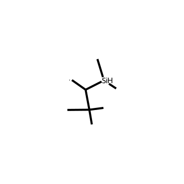 [CH2]C([SiH](C)C)C(C)(C)C